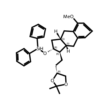 COc1cccc2c1C[C@H]1C[C@@H](O[SiH](c3ccccc3)c3ccccc3)[C@H](CC[C@@H]3COC(C)(C)O3)[C@H]1C2